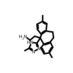 Cc1ccc2c(c1)CCc1cc(C)ccc1C2(CCN)c1nnc(C)[nH]1